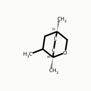 CC1C[C@]2(C)CC[C@@]1(C)OC2